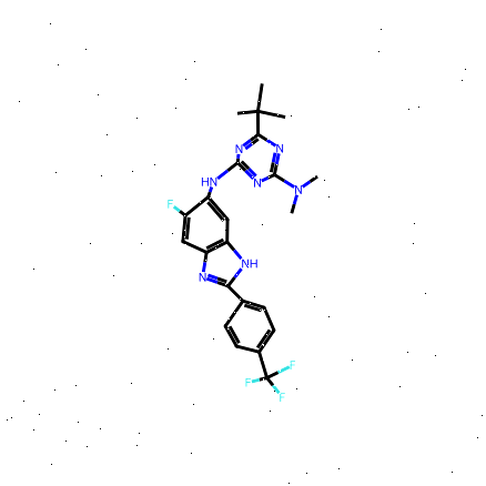 CN(C)c1nc(Nc2cc3[nH]c(-c4ccc(C(F)(F)F)cc4)nc3cc2F)nc(C(C)(C)C)n1